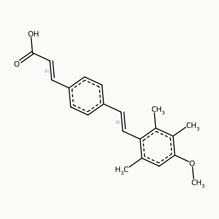 COc1cc(C)c(/C=C/c2ccc(/C=C/C(=O)O)cc2)c(C)c1C